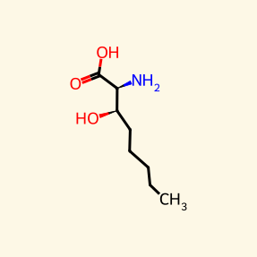 CCCCC[C@@H](O)[C@H](N)C(=O)O